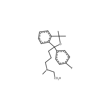 CN(CCCC1(c2ccc(F)cc2)OC(C)(C)c2ccccc21)CC(=O)O